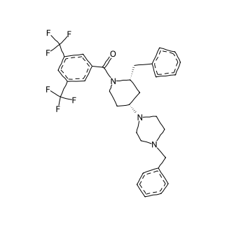 O=C(c1cc(C(F)(F)F)cc(C(F)(F)F)c1)N1CC[C@@H](N2CCN(Cc3ccccc3)CC2)C[C@H]1Cc1ccccc1